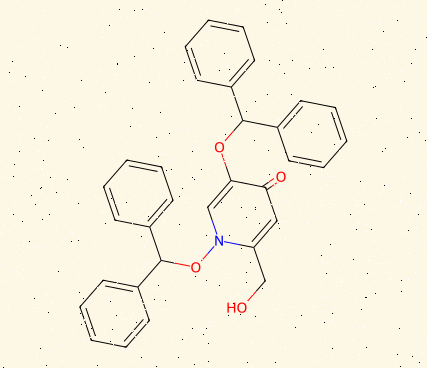 O=c1cc(CO)n(OC(c2ccccc2)c2ccccc2)cc1OC(c1ccccc1)c1ccccc1